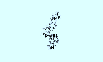 FC1(F)CCN(CC2=CC(c3ccc4[nH]nc(-c5nc6c(-c7cccnc7)cncc6[nH]5)c4c3)CN=C2)C1